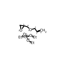 C=CCOCC1CO1.CCO[SiH](OCC)OCC